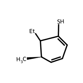 CCC1C(S)=CC=C[C@H]1C